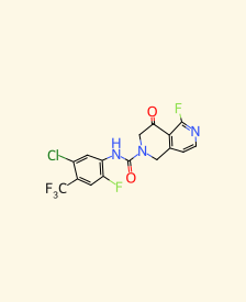 O=C1CN(C(=O)Nc2cc(Cl)c(C(F)(F)F)cc2F)Cc2ccnc(F)c21